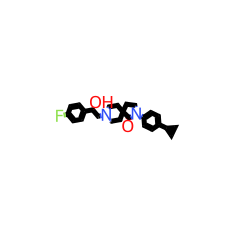 O=C1N(c2ccc(C3CC3)cc2)CCC12CCN(C[C@H](O)c1ccc(F)cc1)CC2